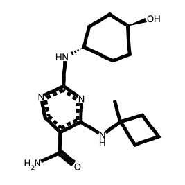 CC1(Nc2nc(N[C@H]3CC[C@H](O)CC3)ncc2C(N)=O)CCC1